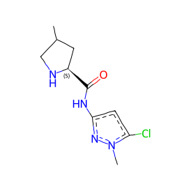 CC1CN[C@H](C(=O)Nc2cc(Cl)n(C)n2)C1